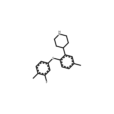 Cc1ccc(Sc2ccc(C)c(F)c2)c(C2CCNCC2)c1